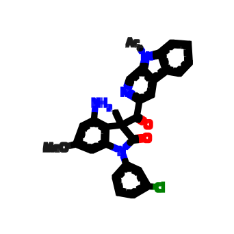 COc1cc(N)c2c(c1)N(c1cccc(Cl)c1)C(=O)C2(C)C(=O)c1cc2c3ccccc3n(C(C)=O)c2cn1